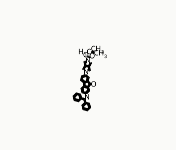 CC(C)(C)OC(=O)N1CC2CN(c3ccc4c(c3)C(=O)c3cc(N=C(c5ccccc5)c5ccccc5)ccc3-4)CC2C1